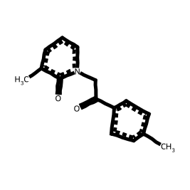 Cc1ccc(C(=O)Cn2cccc(C)c2=O)cc1